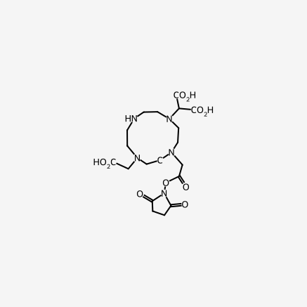 O=C(O)CN1CCNCCN(C(C(=O)O)C(=O)O)CCN(CC(=O)ON2C(=O)CCC2=O)CC1